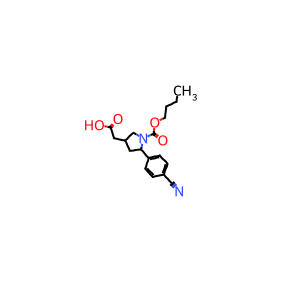 CCCCOC(=O)N1CC(CC(=O)O)CC1c1ccc(C#N)cc1